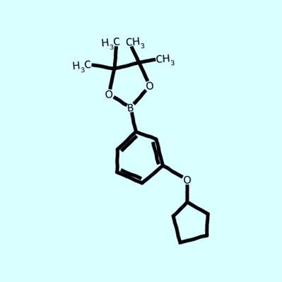 CC1(C)OB(c2cccc(OC3CCCC3)c2)OC1(C)C